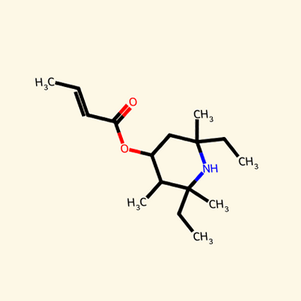 C/C=C/C(=O)OC1CC(C)(CC)NC(C)(CC)C1C